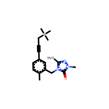 COc1nn(C)c(=O)n1Cc1cc(C#CC[Si](C)(C)C)ccc1C